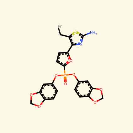 CC(C)Cc1sc(N)nc1-c1ccc(P(=O)(Oc2ccc3c(c2)OCO3)Oc2ccc3c(c2)OCO3)o1